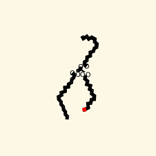 CCCC/C=C\C/C=C\CCCCCCCC(=O)O[C@H](COC(=O)CCCCCCC/C=C\CCCCCC)COC(=O)CCCCCCCCC/C=C\CCCCCCCC